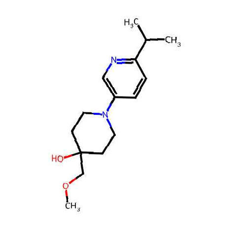 COCC1(O)CCN(c2ccc(C(C)C)nc2)CC1